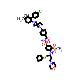 CC1(C)C=C(c2ccc(Cl)cc2)C(N2CC3(CCN(c4ccc(C(=O)NS(=O)(=O)c5ccc(NC(CCN6CCOCC6)CSc6ccccc6)c(S(=O)(=O)C(F)(F)F)c5)cc4)C3)C2)CC1